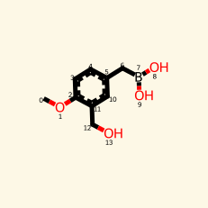 COc1ccc(CB(O)O)cc1CO